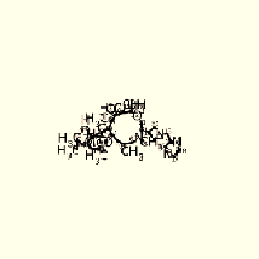 CO[C@]1(C)C[C@@H](C)CN(C)[C@H](C2CN(Cc3cnccn3)C2)COC(O)C(C)(C)C(=O)[C@H](C)[C@H]1O[C@@H]1O[C@H](C)C[C@H](N(C)C)[C@H]1O